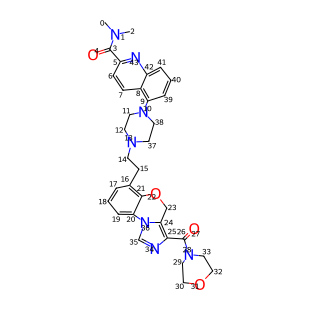 CN(C)C(=O)c1ccc2c(N3CCN(CCc4cccc5c4OCc4c(C(=O)N6CCOCC6)ncn4-5)CC3)cccc2n1